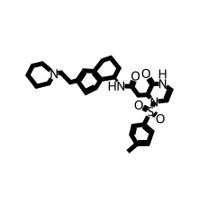 Cc1ccc(S(=O)(=O)N2C=CNC(=O)C2CC(=O)N[C@@H]2CCCc3cc(CCN4CCCCC4)ccc32)cc1